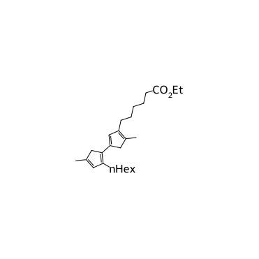 CCCCCCC1=C(C2=CC(CCCCCC(=O)OCC)=C(C)C2)CC(C)=C1